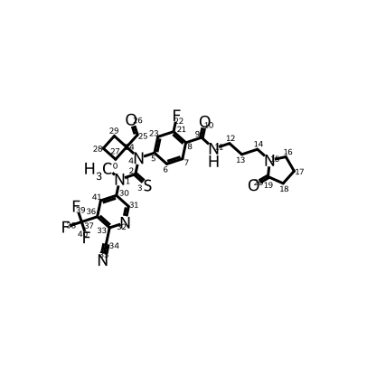 CN(C(=S)N(c1ccc(C(=O)NCCCN2CCCC2=O)c(F)c1)C1(C=O)CCC1)c1cnc(C#N)c(C(F)(F)F)c1